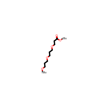 CCCCOCCCOCCCOCCC(=O)OC(C)(C)C